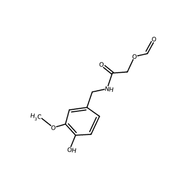 COc1cc(CNC(=O)COC=O)ccc1O